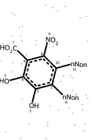 CCCCCCCCCc1c(O)c(O)c(C(=O)O)c([N+](=O)[O-])c1CCCCCCCCC